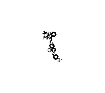 CC(C)(C)OC(=O)NC(CCN1CCC2(CC1)CCN(Cc1ccc(Br)cc1)C2=O)c1ccccc1